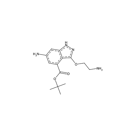 CC(C)(C)OC(=O)c1cc(N)cc2[nH]nc(OCCN)c12